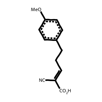 COc1ccc(CC/C=C(\C#N)C(=O)O)cc1